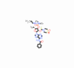 [2H]C[C@H]1O[C@@H](n2cnc3c(NC(=O)c4ccccc4)ncnc32)[C@@H](OC(=S)N2CCS(=O)(=O)CC2)C1OP(ONCC=C)N(C(C)C)C(C)C